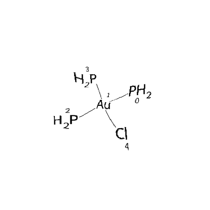 [PH2][Au]([PH2])([PH2])[Cl]